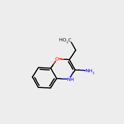 NC1=C(CC(=O)O)Oc2ccccc2N1